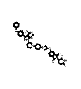 Nc1ncnc2c1c(-c1ccc(Oc3ccccc3)cc1)nn2C1CCCN(C2CCC(N3CC(Oc4ccc5c(c4)C(=O)N(C4CCC(=O)NC4=O)C5=O)C3)CC2)C1